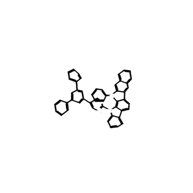 c1ccc(-c2cc(-c3ccccc3)cc(-c3cnc(-n4c5ccccc5c5ccc6c7cc8ccccc8cc7n(-c7ccccc7)c6c54)nc3)c2)cc1